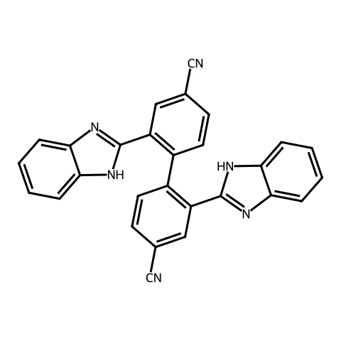 N#Cc1ccc(-c2ccc(C#N)cc2-c2nc3ccccc3[nH]2)c(-c2nc3ccccc3[nH]2)c1